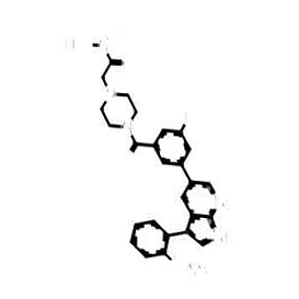 COc1ccccc1-c1c[nH]c2ncc(-c3cc(F)cc(C(=O)N4CCN(CC(=O)N(C)C)CC4)c3)cc12